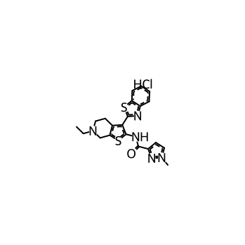 CCN1CCc2c(sc(NC(=O)c3ccn(C)n3)c2-c2nc3ccccc3s2)C1.Cl